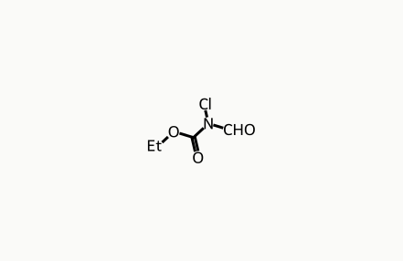 CCOC(=O)N(Cl)C=O